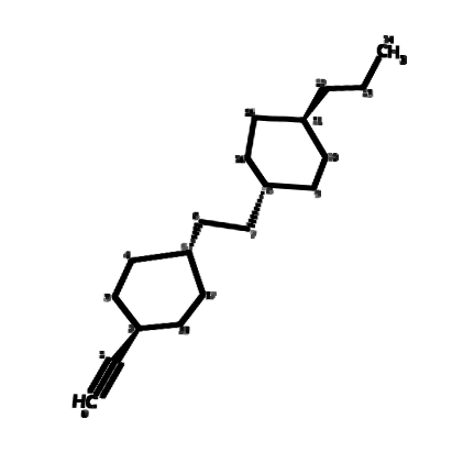 C#C[C@H]1CC[C@H](CC[C@H]2CC[C@H](CCC)CC2)CC1